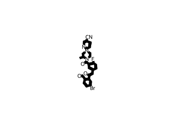 CC1CN(c2ccc(C#N)cn2)CCN1C(=O)c1cc(C=C2OC(=O)c3ccc(Br)cc32)ccc1F